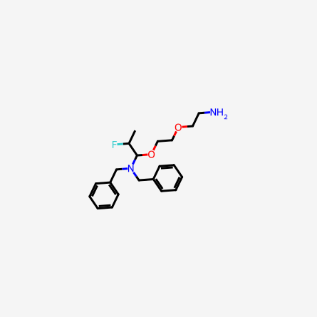 CC(F)C(OCCOCCN)N(Cc1ccccc1)Cc1ccccc1